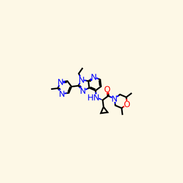 CCn1c(-c2cnc(C)nc2)nc2c(N[C@@H](C(=O)N3CC(C)OC(C)C3)C3CC3)ccnc21